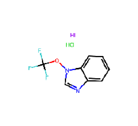 Cl.FC(F)(F)On1cnc2ccccc21.I